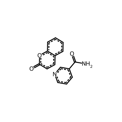 NC(=O)c1cccnc1.O=c1ccc2ccccc2o1